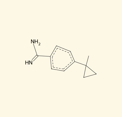 CC1(c2ccc(C(=N)N)cc2)CC1